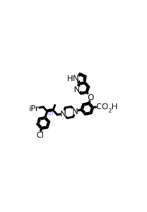 C/C(CN1CCN(c2ccc(C(=O)O)c(Oc3cnc4[nH]ccc4c3)c2)CC1)=C(\CC(C)C)c1ccc(Cl)cc1